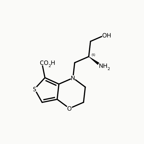 N[C@H](CO)CN1CCOc2csc(C(=O)O)c21